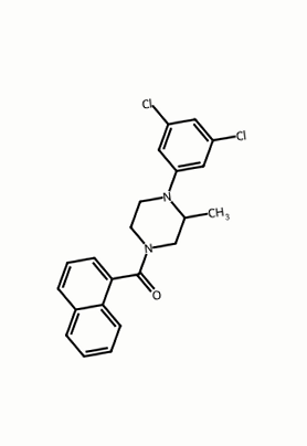 CC1CN(C(=O)c2cccc3ccccc23)CCN1c1cc(Cl)cc(Cl)c1